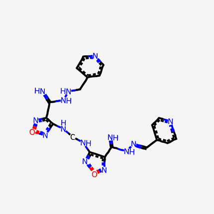 N=C(N/N=C/c1ccncc1)c1nonc1NCNc1nonc1C(=N)NNCc1ccncc1